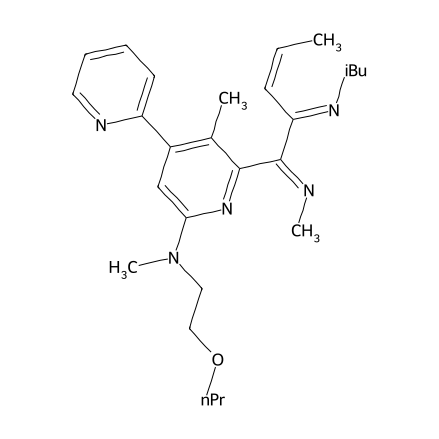 C\C=C/C(=N\C(C)CC)C(=N/C)/c1nc(N(C)CCOCCC)cc(-c2ccccn2)c1C